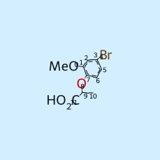 COc1cc(Br)ccc1OC(C)C(=O)O